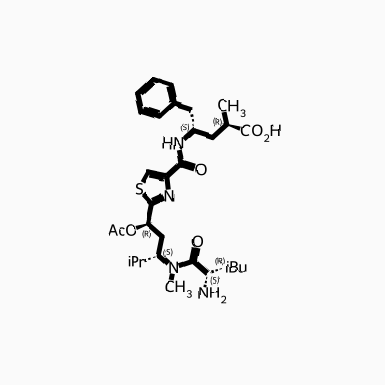 CC[C@@H](C)[C@H](N)C(=O)N(C)[C@@H](C[C@@H](OC(C)=O)c1nc(C(=O)N[C@H](Cc2ccccc2)C[C@@H](C)C(=O)O)cs1)C(C)C